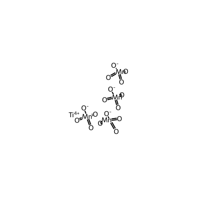 [O]=[Mn](=[O])(=[O])[O-].[O]=[Mn](=[O])(=[O])[O-].[O]=[Mn](=[O])(=[O])[O-].[O]=[Mn](=[O])(=[O])[O-].[Ti+4]